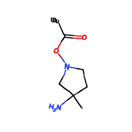 CC1(N)CCN(OC(=O)C(C)(C)C)C1